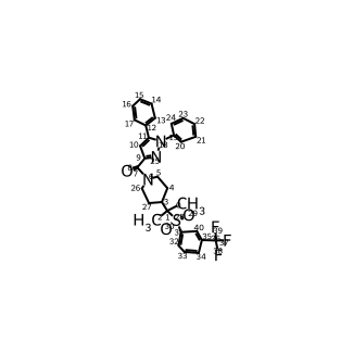 CC(C)(C1CCN(C(=O)c2cc(-c3ccccc3)n(-c3ccccc3)n2)CC1)S(=O)(=O)c1cccc(C(F)(F)F)c1